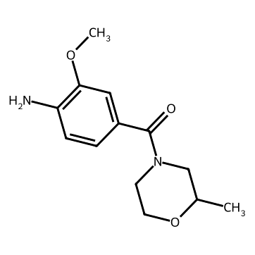 COc1cc(C(=O)N2CCOC(C)C2)ccc1N